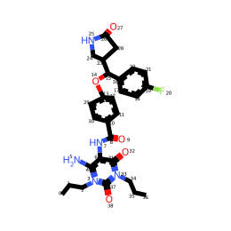 CCCn1c(N)c(NC(=O)c2ccc(OC(c3ccc(F)cc3)C3CNC(=O)C3)cc2)c(=O)n(CCC)c1=O